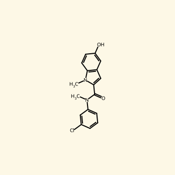 CN(C(=O)c1cc2cc(O)ccc2n1C)c1cccc(Cl)c1